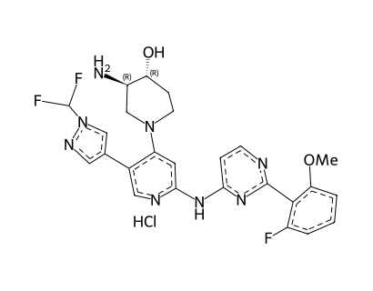 COc1cccc(F)c1-c1nccc(Nc2cc(N3CC[C@@H](O)[C@H](N)C3)c(-c3cnn(C(F)F)c3)cn2)n1.Cl